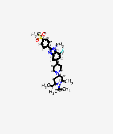 CCC1CC(N2CCC(c3cc(F)c4c(c3)nc(-c3ccc(S(C)(=O)=O)cc3)n4C)CC2)CC(C)N1C(C)C